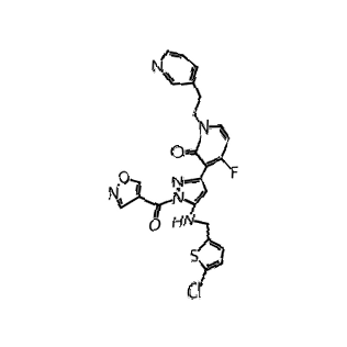 O=C(c1cnoc1)n1nc(-c2c(F)ccn(CCc3cccnc3)c2=O)cc1NCc1ccc(Cl)s1